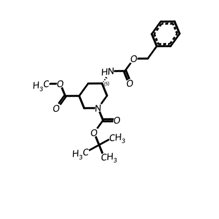 COC(=O)C1C[C@H](NC(=O)OCc2ccccc2)CN(C(=O)OC(C)(C)C)C1